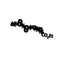 CCOC(=O)Cc1csc(NNc2ccc(/N=N/c3ccc(/N=N/c4ccc(NC(C)CC)c5ccccc45)c4ccccc34)cc2)n1